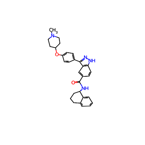 CN1CCC(Oc2ccc(-c3n[nH]c4ccc(C(=O)N[C@@H]5CCCc6ccccc65)cc34)cc2)CC1